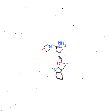 CN(Cc1cn(C)c2ccccc12)C(=O)/C=C/c1cnc(N)c(CN2CCOCC2)c1